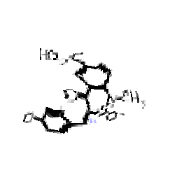 CN1c2ccc(C(=O)O)cc2C(=O)/C(=C\c2ccc(Cl)cc2)[S+]1[O-]